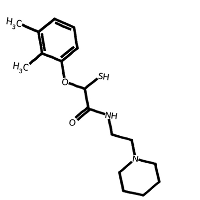 Cc1cccc(OC(S)C(=O)NCCN2CCCCC2)c1C